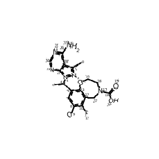 Cc1nn(C(C)c2cc(Cl)c(F)c3c2OCCN(C(=O)O)C3)c2ncnc(N)c12